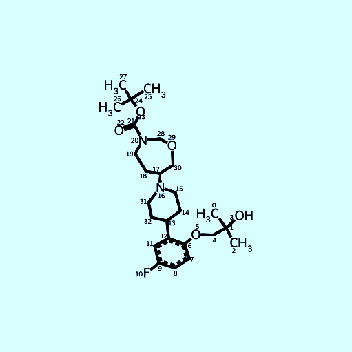 CC(C)(O)COc1ccc(F)cc1C1CCN([C@H]2CCN(C(=O)OC(C)(C)C)COC2)CC1